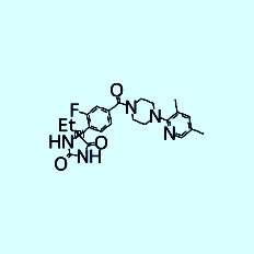 CC[C@]1(c2ccc(C(=O)N3CCN(c4ncc(C)cc4C)CC3)cc2F)NC(=O)NC1=O